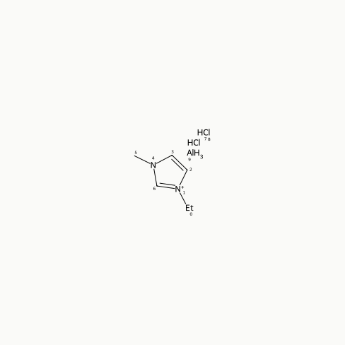 CC[n+]1ccn(C)c1.Cl.Cl.[AlH3]